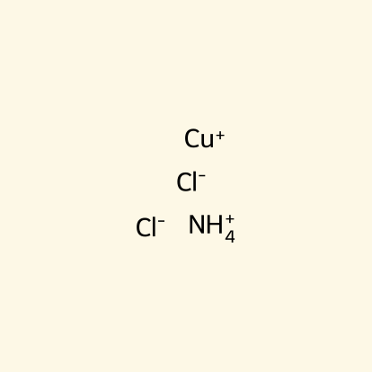 [Cl-].[Cl-].[Cu+].[NH4+]